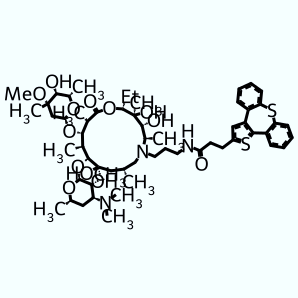 CC[C@H]1OC(=O)[C@H](C)[C@@H](O[C@H]2C[C@@](C)(OC)[C@@H](O)[C@H](C)O2)[C@H](C)[C@@H](O[C@@H]2O[C@H](C)C[C@H](N(C)C)[C@H]2O)[C@](C)(O)C[C@@H](C)CN(CCCNC(=O)CCc2cc3c(s2)-c2ccccc2Sc2ccccc2-3)[C@H](C)[C@@H](O)[C@]1(C)O